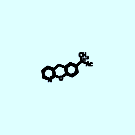 CC(=O)[C@H](C)c1ccc2c(c1)Cc1cccnc1O2